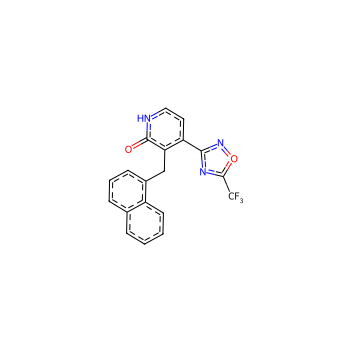 O=c1[nH]ccc(-c2noc(C(F)(F)F)n2)c1Cc1cccc2ccccc12